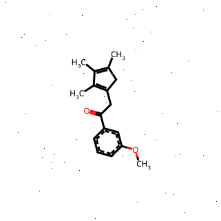 COc1cccc(C(=O)CC2=C(C)C(C)=C(C)C2)c1